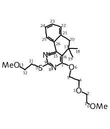 COCCOCCOc1nc(SCCOC)nc2c1C(C)(C)Cc1ccccc1-2